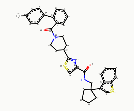 O=C(NCC1(c2csc3ccccc23)CCCC1)c1csc(C2CCN(C(=O)c3ccccc3-c3ccc(C(F)(F)F)cc3)CC2)n1